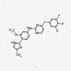 COc1cc(Nc2nccc(Cc3cc(F)c(F)c(F)c3)n2)ccc1-c1nc(C)c[nH]1